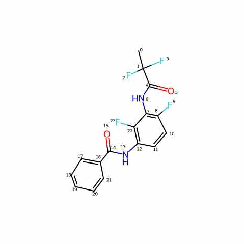 CC(F)(F)C(=O)Nc1c(F)ccc(NC(=O)c2ccccc2)c1F